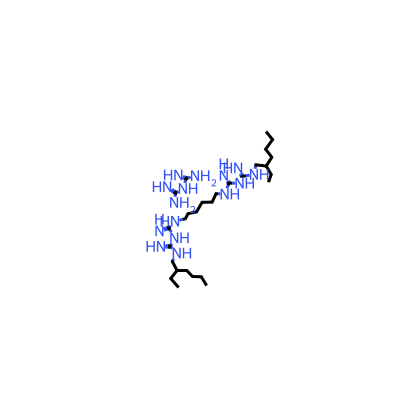 CCCCC(CC)CNC(=N)NC(=N)NCCCCCCNC(=N)NC(=N)NCC(CC)CCCC.N=C(N)NC(=N)N